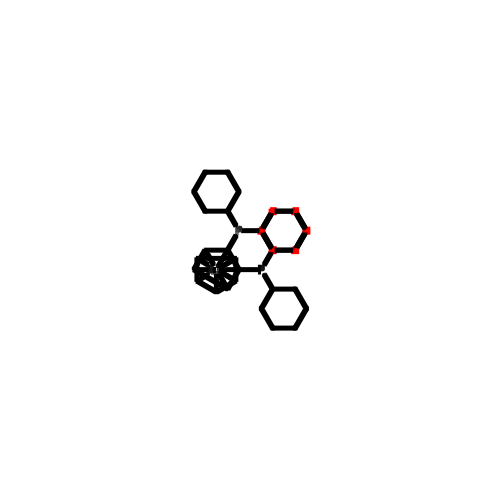 C1CCC(P(C2CCCCC2)[C]23[CH]4[CH]5[CH]6[C]2(P(C2CCCCC2)C2CCCCC2)[Ru]54632789[CH]3[CH]2[CH]7[CH]8[CH]39)CC1